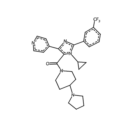 O=C(c1c(-c2ccncc2)nc(-c2cccc(C(F)(F)F)c2)n1C1CC1)N1CCC(N2CCCC2)CC1